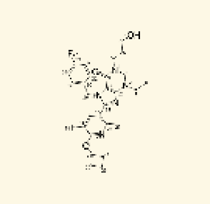 CCN1CN(CCCO)C(=O)c2c1nc(-c1cc(F)c(OC3CCC3)nc1C)n2Cc1ccc(F)cc1